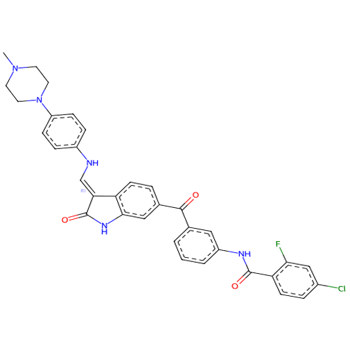 CN1CCN(c2ccc(N/C=C3/C(=O)Nc4cc(C(=O)c5cccc(NC(=O)c6ccc(Cl)cc6F)c5)ccc43)cc2)CC1